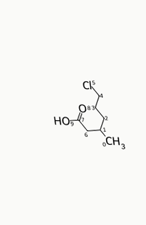 CC(CCCCl)CC(=O)O